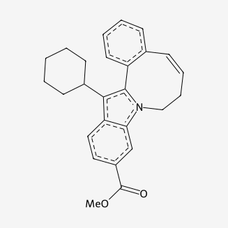 COC(=O)c1ccc2c(C3CCCCC3)c3n(c2c1)CCC=Cc1ccccc1-3